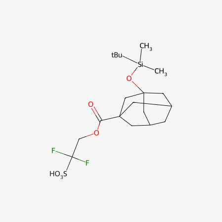 CC(C)(C)[Si](C)(C)OC12CC3CC(C1)CC(C(=O)OCC(F)(F)S(=O)(=O)O)(C3)C2